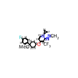 C=N/N=c1/c(C(F)(F)F)c(O[C@H]2CC[C@](OC)(c3ccc(F)cc3)CC2)ccn1C1CC1